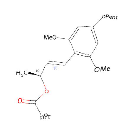 CCCCCc1cc(OC)c(/C=C/[C@H](C)OC(=O)CCC)c(OC)c1